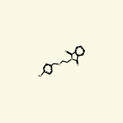 CCC(C)c1ccc(COCCN2C(=O)c3ccccc3C2=O)cc1